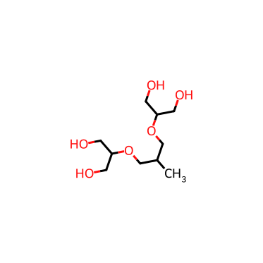 CC(COC(CO)CO)COC(CO)CO